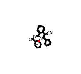 N#Cc1c(-c2ccccc2)n2c3c(c(=O)nc2c2ccccc12)C1CCC3CC1